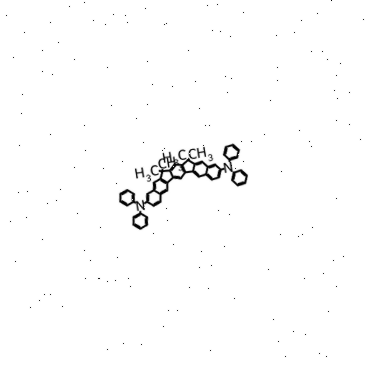 CC1(C)c2cc3c(cc2-c2cc4ccc(N(c5ccccc5)c5ccccc5)cc4cc21)-c1cc2ccc(N(c4ccccc4)c4ccccc4)cc2cc1C3(C)C